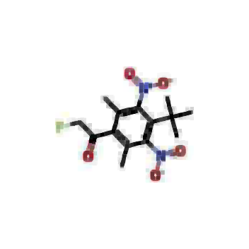 Cc1c(C(=O)CF)c(C)c([N+](=O)[O-])c(C(C)(C)C)c1[N+](=O)[O-]